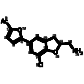 CC(=O)c1ccc(-c2cc(Cl)c3c(c2)CC(CN)O3)o1